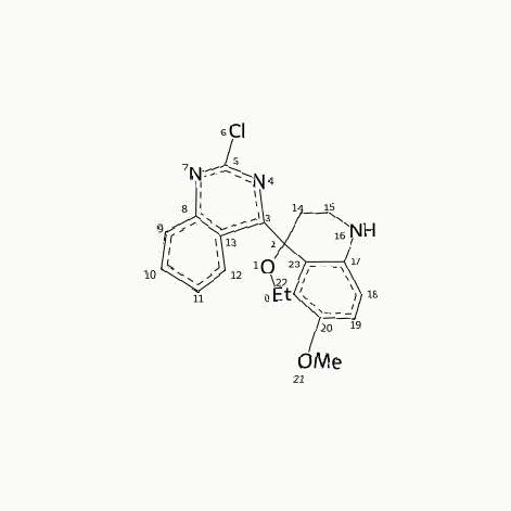 CCOC1(c2nc(Cl)nc3ccccc23)CCNc2ccc(OC)cc21